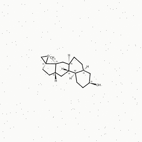 C[C@]12C[C@H]3CC[C@H]4C[C@@H](O)CC[C@H]4[C@@H]3C[C@@H]1CC[C@@]21CO1